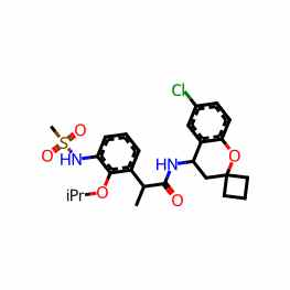 CC(C)Oc1c(NS(C)(=O)=O)cccc1C(C)C(=O)NC1CC2(CCC2)Oc2ccc(Cl)cc21